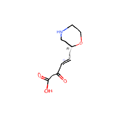 O=C(O)C(=O)/C=C/[C@@H]1CNCCO1